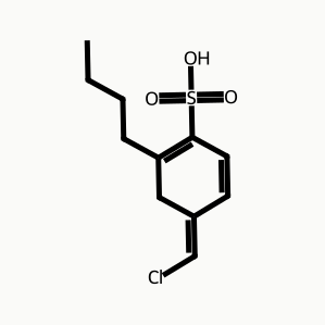 CCCCC1=C(S(=O)(=O)O)C=CC(=CCl)C1